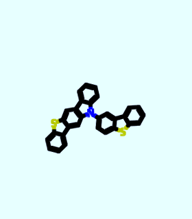 c1ccc2c(c1)sc1ccc(-n3c4ccccc4c4cc5sc6ccccc6c5cc43)cc12